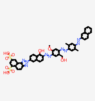 COc1cc(N=Nc2cc(C)c(N=Nc3ccc4ccccc4c3)cc2C)c(CO)cc1N=Nc1ccc2cc(-n3nc4ccc5c(S(=O)(=O)O)cc(S(=O)(=O)O)cc5c4n3)ccc2c1O